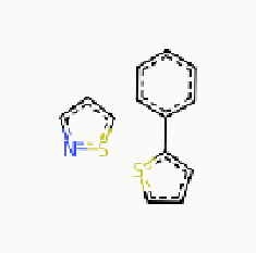 c1ccc(-c2cccs2)cc1.c1cnsc1